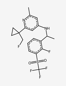 Cc1cc(NC(C)c2cccc(S(=O)(=O)C(F)(F)F)c2F)cc(C2(CF)CC2)n1